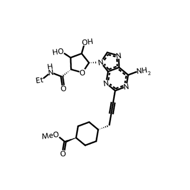 CCNC(=O)[C@H]1O[C@@H](n2cnc3c(N)nc(C#CC[C@H]4CC[C@H](C(=O)OC)CC4)nc32)C(O)C1O